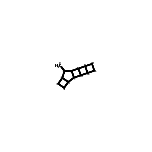 CC1C2CCC2C2C1C1C3CCC3C21